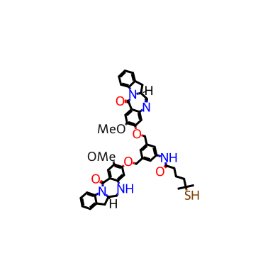 COc1cc2c(cc1OCc1cc(COc3cc4c(cc3OC)C(=O)N3c5ccccc5C[C@H]3CN4)cc(NC(=O)CCCC(C)(C)S)c1)N=C[C@@H]1Cc3ccccc3N1C2=O